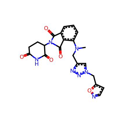 CN(Cc1cn(Cc2ccno2)nn1)c1cccc2c1C(=O)N(C1CCC(=O)NC1=O)C2=O